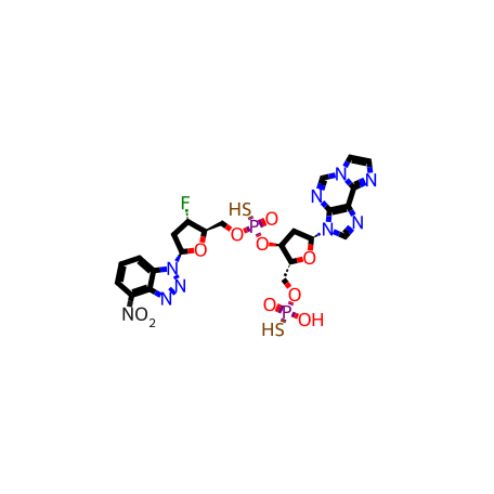 O=[N+]([O-])c1cccc2c1nnn2[C@H]1C[C@H](F)[C@@H](COP(=O)(S)O[C@H]2C[C@H](n3cnc4c3ncn3ccnc43)O[C@@H]2COP(=O)(O)S)O1